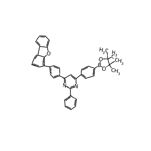 CC1(C)OB(c2ccc(-c3cc(-c4ccc(-c5cccc6c5oc5ccccc56)cc4)nc(-c4ccccc4)n3)cc2)OC1(C)C